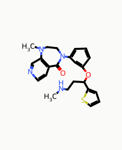 CNCCC(Oc1cccc(N2CCN(C)c3cnccc3C2=O)c1)c1cccs1